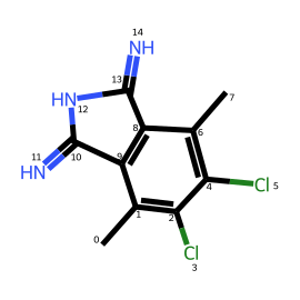 Cc1c(Cl)c(Cl)c(C)c2c1C(=N)NC2=N